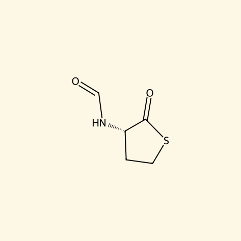 O=CN[C@H]1CCSC1=O